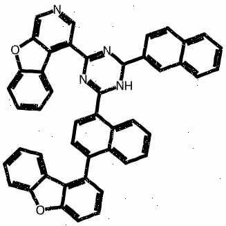 c1ccc2cc(C3N=C(c4cncc5oc6ccccc6c45)N=C(c4ccc(-c5cccc6oc7ccccc7c56)c5ccccc45)N3)ccc2c1